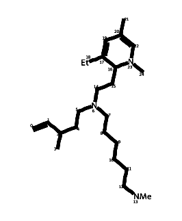 C=CC(C)CCN(CCCCCCNC)CCC1C(CC)=CC(C)=CN1C